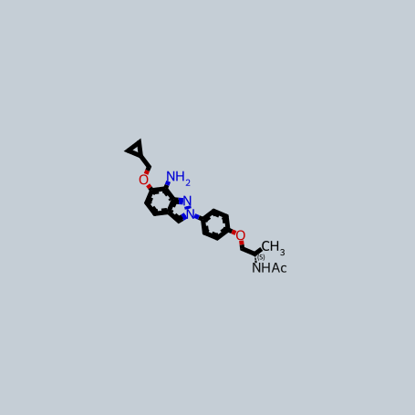 CC(=O)N[C@@H](C)COc1ccc(-n2cc3ccc(OCC4CC4)c(N)c3n2)cc1